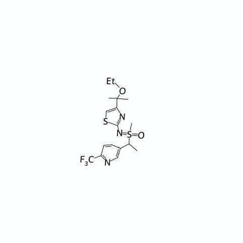 CCOC(C)(C)c1csc(N=S(C)(=O)C(C)c2ccc(C(F)(F)F)nc2)n1